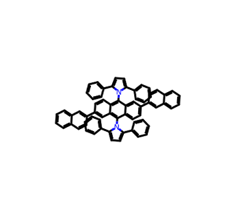 c1ccc(-c2ccc(-c3ccccc3)n2-c2c3ccc(-c4ccc5ccccc5c4)cc3c(-n3c(-c4ccccc4)ccc3-c3ccccc3)c3ccc(-c4ccc5ccccc5c4)cc23)cc1